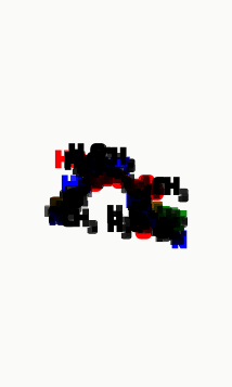 COC(=O)c1cc(N2C(=S)N(c3ccc(C#N)c(C(F)(F)F)c3F)C(=O)C2(C)C)cnc1OCCOCC(=O)N[C@H](C(=O)N1C[C@H](O)C[C@H]1C(=O)NCc1ccc(-c2scnc2C)cc1)C(C)(C)C